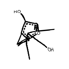 CC1=C(O)C(C)=c2oc3c(c2O)C=31